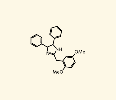 COc1ccc(OC)c(CC2=NC(c3ccccc3)C(c3ccccc3)N2)c1